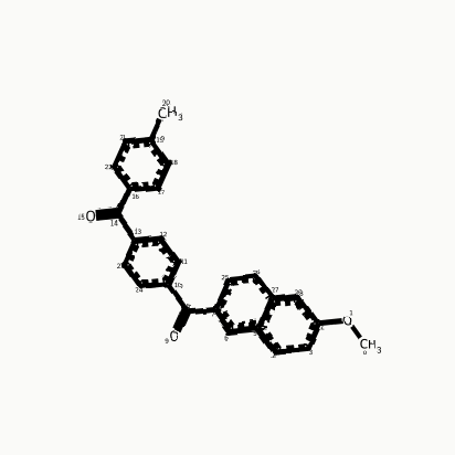 COc1ccc2cc(C(=O)c3ccc(C(=O)c4ccc(C)cc4)cc3)ccc2c1